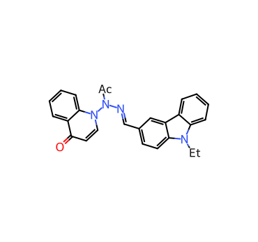 CCn1c2ccccc2c2cc(C=NN(C(C)=O)n3ccc(=O)c4ccccc43)ccc21